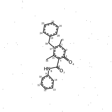 Cc1cc(=O)c(C(=O)Nc2ccccc2)c(C)n1Cc1ccccc1